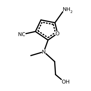 CN(CCO)c1oc(N)cc1C#N